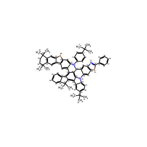 CC(C)(C)c1ccc(N2B3c4cc5nc(-c6ccccc6)sc5cc4-n4c5ccc(C(C)(C)C)cc5c5c6c(c(c3c54)-c3cc4c(cc32)sc2cc3c(cc24)C(C)(C)CCC3(C)C)-c2ccccc2C6(C)C)cc1